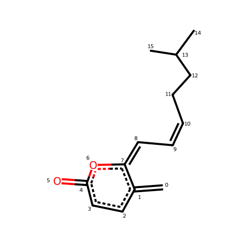 C=c1ccc(=O)o/c1=C/C=C\CCC(C)C